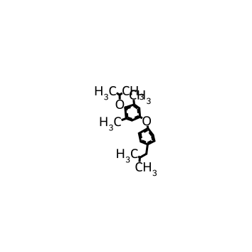 Cc1cc(Oc2ccc(CC(C)C)cc2)cc(C)c1OC(C)C